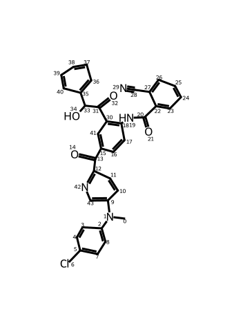 CN(c1ccc(Cl)cc1)c1ccc(C(=O)c2ccc(NC(=O)c3ccccc3C#N)c(C(=O)C(O)c3ccccc3)c2)nc1